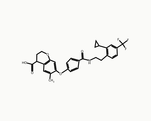 Cc1cc2c(cc1Oc1ccc(C(=O)NCCc3ccc(C(F)(F)F)cc3C3CC3)cc1)OCCC2C(=O)O